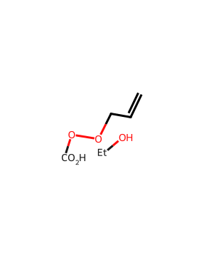 C=CCOOC(=O)O.CCO